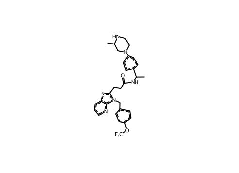 CC(NC(=O)CCc1nc2cccnc2n1Cc1ccc(OC(F)(F)F)cc1)c1ccc(N2CCN[C@H](C)C2)cc1